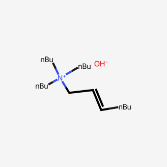 CCCCC=CC[N+](CCCC)(CCCC)CCCC.[OH-]